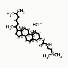 CC(C)CCCC(C)C1CCC2C3CC=C4CC(OC(=O)NCCN(C)C)CCC4(C)C3CCC12C.Cl